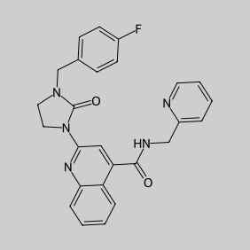 O=C(NCc1ccccn1)c1cc(N2CCN(Cc3ccc(F)cc3)C2=O)nc2ccccc12